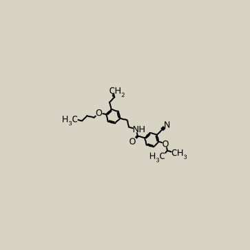 C=CCc1cc(CCNC(=O)c2ccc(OC(C)C)c(C#N)c2)ccc1OCCCC